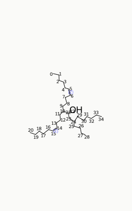 CCCCC/C=C\CCCC(CCC/C=C\CCCCC)C(O)CC(CCCC)CCCCCC